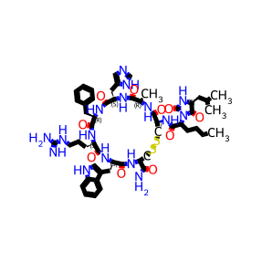 CCCCC(C(=O)N[C@H]1CSSCC(C(N)=O)NC(=O)[C@H](Cc2c[nH]c3ccccc23)NC(=O)[C@H](CCCNC(=N)N)NC(=O)[C@@H](Cc2ccccc2)NC(=O)[C@H](Cc2cnc[nH]2)NC(=O)[C@@H](C)NC1=O)N1C(=O)N[C@@H](CC(C)C)C1=O